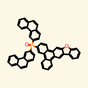 O=P(c1ccc2ccc3ccccc3c2c1)(c1ccc2ccc3ccccc3c2c1)c1ccc2c(c1)c1ccccc1c1cc3c(cc21)oc1ccccc13